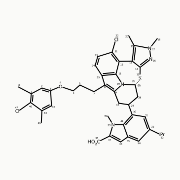 Cc1cc(OCCCc2c3n(c4c(-c5c(C)nn(C)c5C)c(Cl)ccc24)[C@H](C)CC(c2cc(C(C)C)cc4cc(C(=O)O)n(C)c24)C3)cc(C)c1Cl